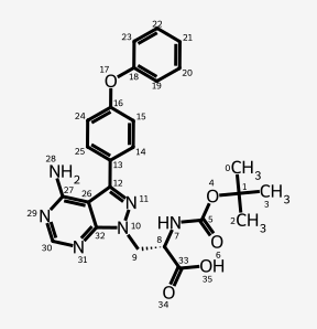 CC(C)(C)OC(=O)N[C@@H](Cn1nc(-c2ccc(Oc3ccccc3)cc2)c2c(N)ncnc21)C(=O)O